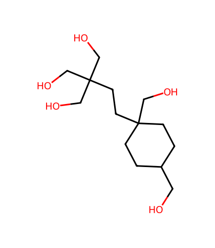 OCC1CCC(CO)(CCC(CO)(CO)CO)CC1